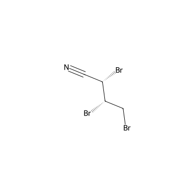 N#C[C@H](Br)[C@@H](Br)CBr